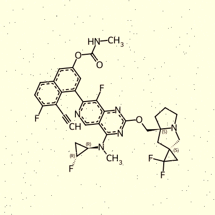 C#Cc1c(F)ccc2cc(OC(=O)NC)cc(-c3ncc4c(N(C)[C@@H]5C[C@H]5F)nc(OC[C@@]56CCCN5C[C@@]5(CC5(F)F)C6)nc4c3F)c12